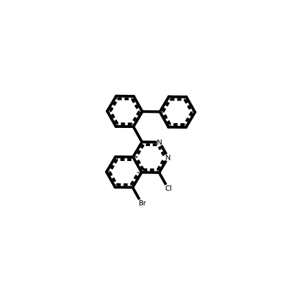 Clc1nnc(-c2ccccc2-c2ccccc2)c2cccc(Br)c12